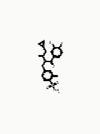 NS(=O)(=O)c1ccc(CC(C(=O)CC2CC2)C(=O)c2ccc(F)c(Br)c2)cc1F